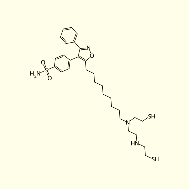 NS(=O)(=O)c1ccc(-c2c(-c3ccccc3)noc2CCCCCCCCCN(CCS)CCNCCS)cc1